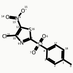 Cc1ccc(S(=O)(=O)c2nc(Cl)c([N+](=O)[O-])s2)cc1